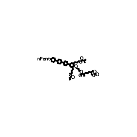 C=CC(=O)OCCCc1cc(-c2ccc(C3CCC(C4CCC(CCCCC)CC4)CC3)cc2)cc(CCCOC(=O)C(=C)C)c1OCCCOC(=O)C(=C)CCCC1COC(=O)OC1